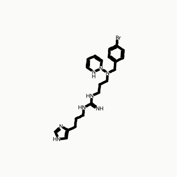 N=C(NCCCc1c[nH]cn1)NCCCN(Cc1ccc(Br)cc1)N1C=CC=CN1